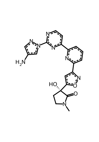 CN1CC[C@@](O)(c2cc(-c3cccc(-c4ccnc(-n5cc(N)cn5)n4)n3)no2)C1=O